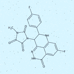 CN1C(=O)C(=O)N(C2c3n[nH]c(=O)c4cc(F)cc(c34)NC2c2ccc(F)cc2)C1=O